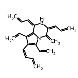 C=C/C=C\c1c(C=C)c2n(c1C=C)C(=C)/C(=C\C=C)B/C2=C/C=C